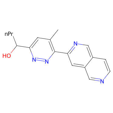 CCCC(O)c1cc(C)c(-c2cc3cnccc3cn2)nn1